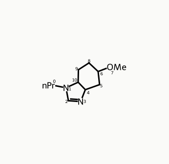 CCCN1C=NC2CC(OC)CCC21